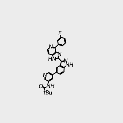 CC(C)(C)C(=O)Nc1cncc(-c2ccc3[nH]nc(-c4nc5c(-c6cccc(F)c6)nccc5[nH]4)c3c2)c1